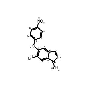 Cn1ncc2cc(Oc3ccc([N+](=O)[O-])cc3)c(Br)cc21